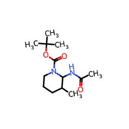 CC(=O)NC1C(C)CCCN1C(=O)OC(C)(C)C